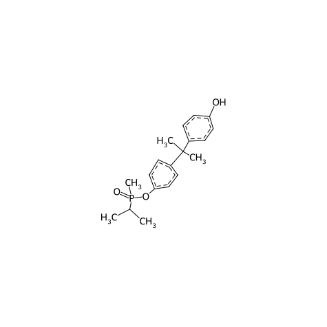 CC(C)P(C)(=O)Oc1ccc(C(C)(C)c2ccc(O)cc2)cc1